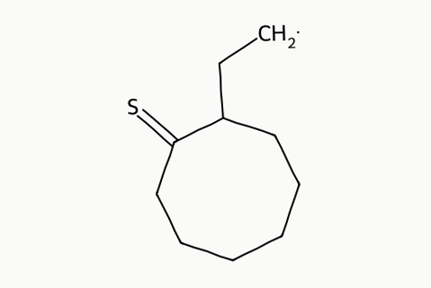 [CH2]CC1CCCCCCC1=S